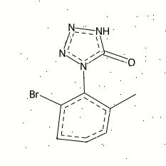 Cc1cccc(Br)c1-n1nn[nH]c1=O